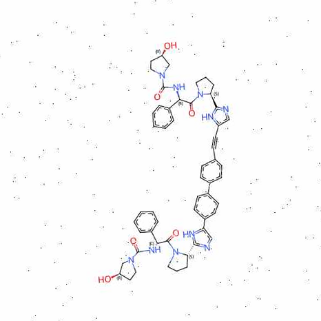 O=C(N[C@@H](C(=O)N1CCC[C@H]1c1ncc(C#Cc2ccc(-c3ccc(-c4cnc([C@@H]5CCCN5C(=O)[C@H](NC(=O)N5CC[C@@H](O)C5)c5ccccc5)[nH]4)cc3)cc2)[nH]1)c1ccccc1)N1CC[C@@H](O)C1